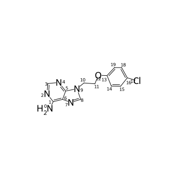 Nc1ncnc2c1ncn2CCOc1ccc(Cl)cc1